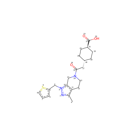 Cc1nn(Cc2cccs2)c2c1CCN(C(=O)C[C@H]1CC[C@H](C(=O)O)CC1)C2